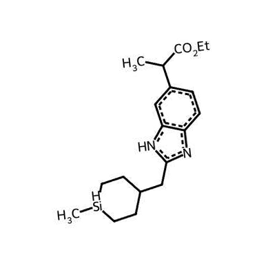 CCOC(=O)C(C)c1ccc2nc(CC3CC[SiH](C)CC3)[nH]c2c1